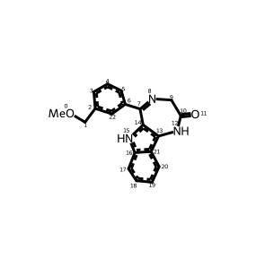 COCc1cccc(C2=NCC(=O)Nc3c2[nH]c2ccccc32)c1